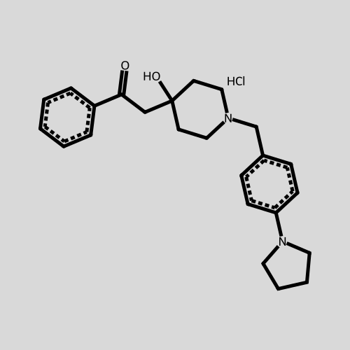 Cl.O=C(CC1(O)CCN(Cc2ccc(N3CCCC3)cc2)CC1)c1ccccc1